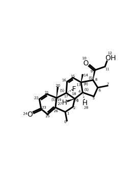 CC1C[C@H]2[C@@H]3CC(C)[C@H](C(=O)CO)[C@@]3(C)C=C[C@]2(F)[C@@]2(C)C=CC(=O)C=C12